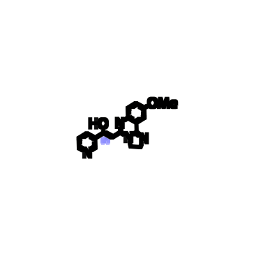 COc1ccc2c(c1)C1=NCCN1C(/C=C(\O)c1cccnc1)=N2